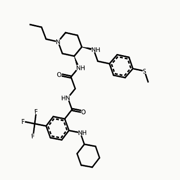 CCCN1CC[C@@H](NCc2ccc(SC)cc2)[C@@H](NC(=O)CNC(=O)c2cc(C(F)(F)F)ccc2NC2CCCCC2)C1